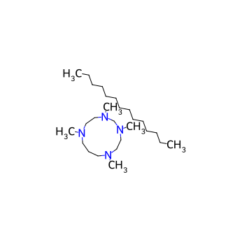 CCCCCCCCCCCCCC.CN1CCCN(C)CCN(C)CN(C)CC1